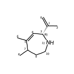 C=C(C)[C@H]1C=C(C)C(C)CCN1